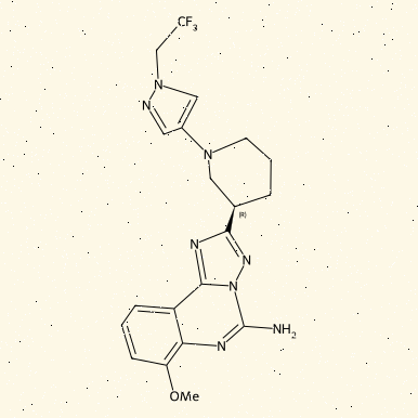 COc1cccc2c1nc(N)n1nc([C@@H]3CCCN(c4cnn(CC(F)(F)F)c4)C3)nc21